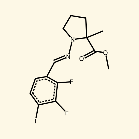 COC(=O)C1(C)CCCN1N=Cc1ccc(I)c(F)c1F